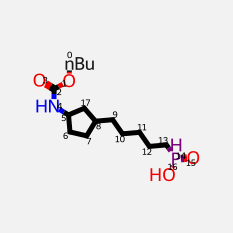 CCCCOC(=O)NC1CCC(CCCCC[PH](=O)O)C1